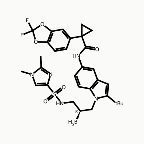 B[C@@H](CNS(=O)(=O)c1cn(C)c(C)n1)Cn1c(C(C)(C)C)cc2cc(NC(=O)C3(c4ccc5c(c4)OC(F)(F)O5)CC3)ccc21